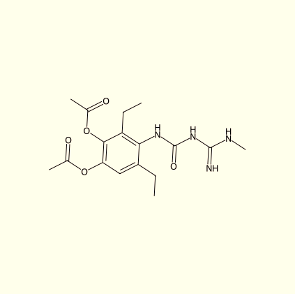 CCc1cc(OC(C)=O)c(OC(C)=O)c(CC)c1NC(=O)NC(=N)NC